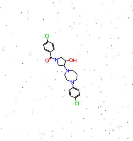 O=C(c1ccc(Cl)cc1)N1CC(O)C(N2CCCN(c3ccc(Cl)cc3)CC2)C1